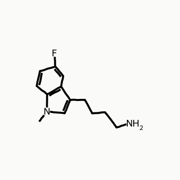 Cn1cc(CCCCN)c2cc(F)ccc21